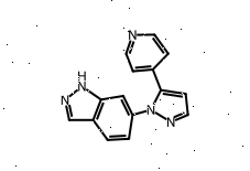 c1cc(-c2ccnn2-c2ccc3cn[nH]c3c2)ccn1